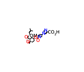 CO[C@@H]1[C@H](OC(=O)N2CC(n3cnc(C(=O)O)c3)C2)CC[C@]2(CO2)[C@H]1[C@@]1(C)O[C@@H]1CC=C(C)C